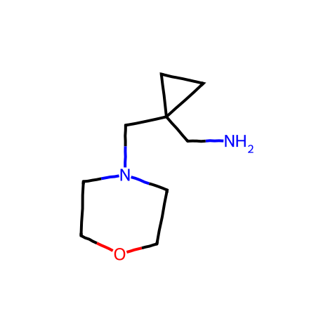 NCC1(CN2CCOCC2)CC1